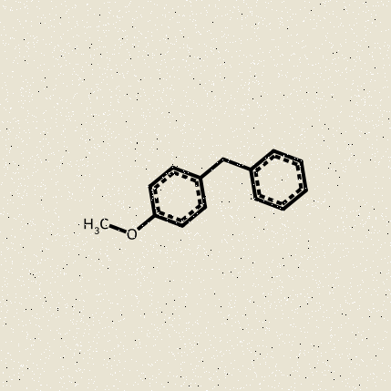 COc1ccc(Cc2[c]cccc2)cc1